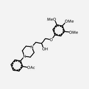 COc1cc(OCC(O)CN2CCN(c3ccccc3OC(C)=O)CC2)cc(OC)c1OC